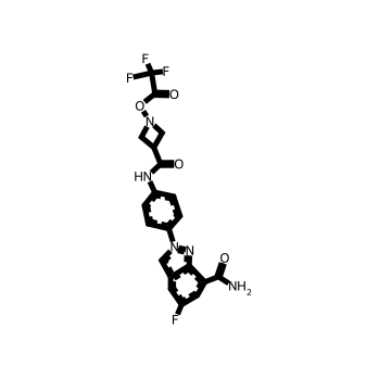 NC(=O)c1cc(F)cc2cn(-c3ccc(NC(=O)C4CN(OC(=O)C(F)(F)F)C4)cc3)nc12